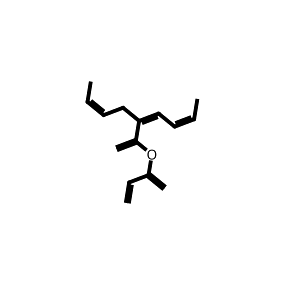 C=CC(=C)OC(=C)/C(=C\C=C/C)C/C=C\C